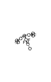 CC1(C)OB(c2ccc([C@H]3CC[C@H](c4ccc(B5OC(C)(C)C(C)(C)O5)cc4)N3c3cc(F)c(N4CCC(c5ccccc5)CC4)c(F)c3)cc2)OC1(C)C